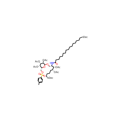 CCCCCCCCCCCCCCCCCCCCCCCCCC(=O)N[C@@H](CO[C@H]1O[C@H](COS(=O)(=O)c2ccc(C)cc2)[C@H](OC(C)=O)[C@H](OC(C)=O)[C@H]1OC(C)=O)[C@H](OC(C)=O)[C@@H](CCCCCCCCCCCCCC)OC(C)=O